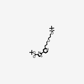 CC(C)(C)OC(=O)c1csc(-c2ccnc(CCCOCCCO[Si](C)(C)C(C)(C)C)c2)n1